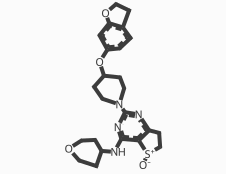 [O-][S+]1CCc2nc(N3CCC(Oc4ccc5c(c4)OCC5)CC3)nc(NC3CCOCC3)c21